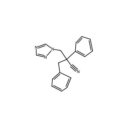 N#CC(Cc1ccccc1)(Cn1cncn1)c1ccccc1